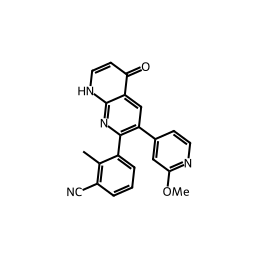 COc1cc(-c2cc3c(=O)cc[nH]c3nc2-c2cccc(C#N)c2C)ccn1